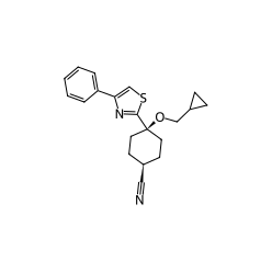 N#C[C@H]1CC[C@](OCC2CC2)(c2nc(-c3ccccc3)cs2)CC1